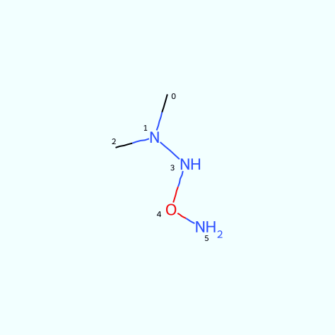 CN(C)NON